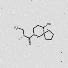 C[C@H](CC(F)(F)F)C(=O)N1CCC(O)C2(CCCC2)C1